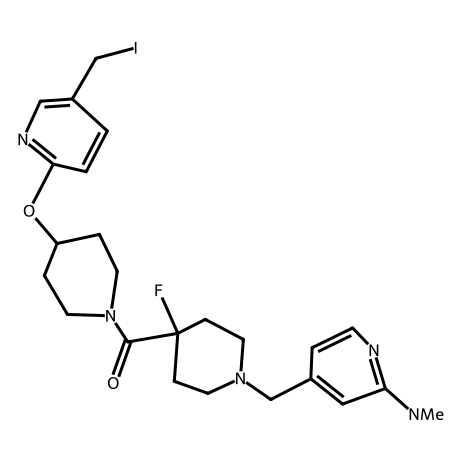 CNc1cc(CN2CCC(F)(C(=O)N3CCC(Oc4ccc(CI)cn4)CC3)CC2)ccn1